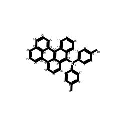 Cc1ccc(N(c2ccc(C)cc2)c2c3ccccc3c3c4cccc5cccc(c6cccc2c63)c54)cc1